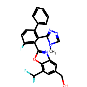 Cn1cnnc1-c1c(-c2ccccc2)ccc(F)c1-c1nc2cc(CO)cc(C(F)F)c2o1